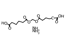 N.N.O=C(O)CCCCC(=O)OCOC(=O)CCCCC(=O)O